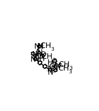 CCN(CC)[C@H](C(=O)N1CCC[C@H]1c1ncc(-c2ccc(-c3ccc(-c4cnc([C@@H]5CCCN5C(=O)[C@H](Cc5cn(C)cn5)NC(=O)OC)[nH]4)cc3)cc2)[nH]1)c1ccccc1